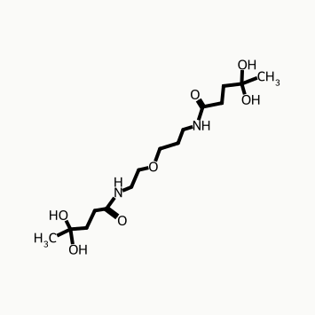 CC(O)(O)CCC(=O)NCCCOCCNC(=O)CCC(C)(O)O